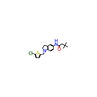 CC(C)(C)CC(=O)Nc1ccc2c(c1)CCN2Cc1ccc(Cl)s1